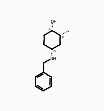 C[C@@H]1C[C@H](NCc2ccccc2)CC[C@@H]1O